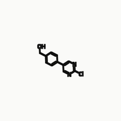 OCc1ccc(-c2cnc(Cl)nc2)cc1